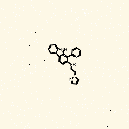 c1ccc(-c2c(NCCn3cccn3)ccc3c2[nH]c2ccccc23)cc1